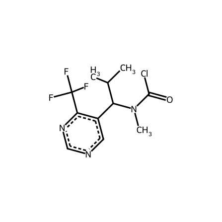 CC(C)C(c1cncnc1C(F)(F)F)N(C)C(=O)Cl